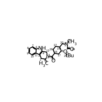 CC1Cc2c([nH]c3ccccc23)CN1C(=O)C1CCC(CN(C)C(=O)OC(C)(C)C)CC1